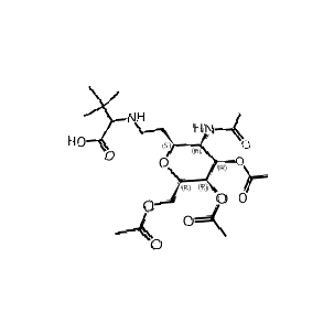 CC(=O)N[C@H]1[C@@H](OC(C)=O)[C@@H](OC(C)=O)[C@@H](COC(C)=O)O[C@H]1CCNC(C(=O)O)C(C)(C)C